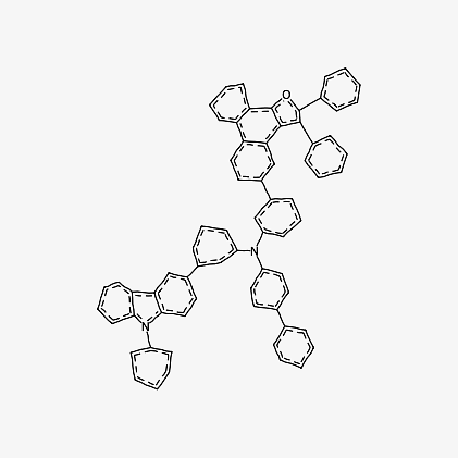 c1ccc(-c2ccc(N(c3cccc(-c4ccc5c6ccccc6c6oc(-c7ccccc7)c(-c7ccccc7)c6c5c4)c3)c3cccc(-c4ccc5c(c4)c4ccccc4n5-c4ccccc4)c3)cc2)cc1